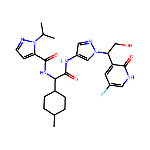 CC1CCC(C(NC(=O)c2ccnn2C(C)C)C(=O)Nc2cnn(C(CO)c3cc(F)c[nH]c3=O)c2)CC1